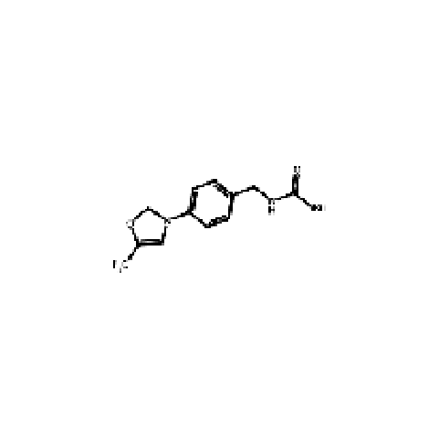 CCC(C)C(=O)NCc1ccc(N2C=C(C(F)(F)F)OC2)cc1